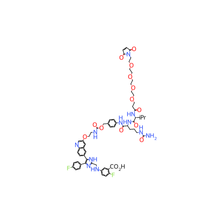 CC(C)[C@H](NC(=O)CCOCCOCCOCCOCCN1C(=O)C=CC1=O)C(=O)NC(CCCNC(N)=O)C(=O)Nc1ccc(COC(=O)NCCOc2cnc3ccc(-c4[nH]c(CNc5ccc(F)c(C(=O)O)c5)nc4-c4ccc(F)cc4)cc3c2)cc1